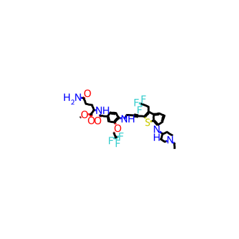 CCN1CCC(Nc2cccc3c(CC(F)(F)F)c(C#CCNc4ccc(C(=O)NC(CCC(N)=O)C(=O)OC)cc4OCC(F)(F)F)sc23)CC1